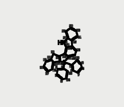 c1ccc(S2(c3ccccc3)C3=C(Cc4ccccc43)c3c2ccc2c3[nH]c3ccccc32)cc1